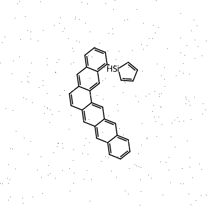 C1=C[SiH](c2cccc3cc4ccc5cc6cc7ccccc7cc6cc5c4cc23)C=C1